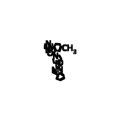 Cc1ccc(-n2nccn2)c(C(=O)N2CCON(c3ncc4ccccc4n3)CC2)c1